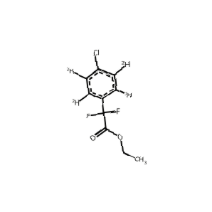 [2H]c1c([2H])c(C(F)(F)C(=O)OCC)c([2H])c([2H])c1Cl